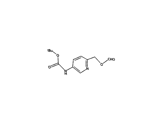 CC(C)(C)OC(=O)Nc1ccc(COC=O)nc1